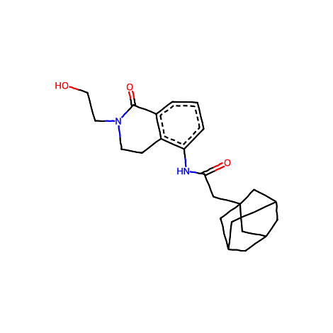 O=C(CC12CC3CC(CC(C3)C1)C2)Nc1cccc2c1CCN(CCO)C2=O